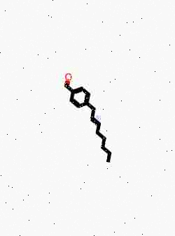 CCCCC/C=C/Cc1ccc(C=O)cc1